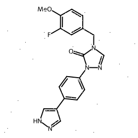 COc1ccc(Cn2cnn(-c3ccc(-c4cn[nH]c4)cc3)c2=O)cc1F